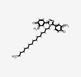 CCCCCCCCCCCCCCCCn1c(-c2ccc(Cl)c(N)c2)nnc1-c1ccc(Cl)c(N)c1